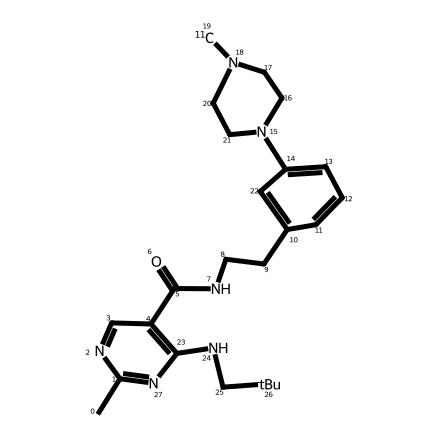 Cc1ncc(C(=O)NCCc2cccc(N3CCN([11CH3])CC3)c2)c(NCC(C)(C)C)n1